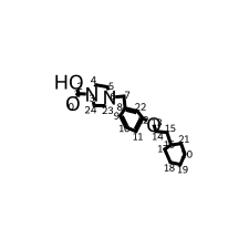 O=C(O)N1CCN(Cc2cccc(OCCC3CCCCC3)c2)CC1